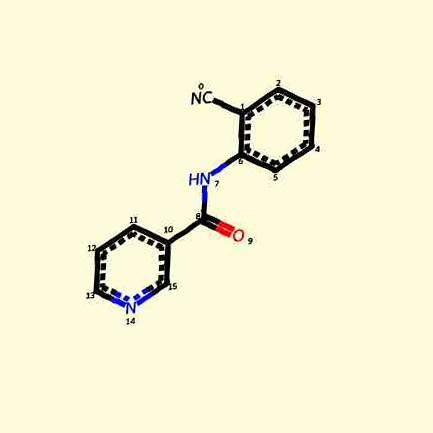 N#Cc1ccccc1NC(=O)c1cccnc1